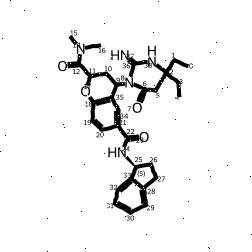 CCC1(CC)CC(=O)N(C2CC(C(=O)N(C)C)Oc3ccc(C(=O)N[C@H]4CCc5ccccc54)cc32)C(=N)N1